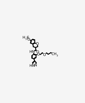 CCCCOCCOc1cc(-c2cn[nH]c2)ccc1NC(=O)C1COc2ccc(OC)cc2C1